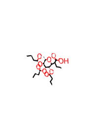 CCCC(=O)O[C@@H]1[C@H](OC(=O)CCC)[C@H](C)OC(C(CC)C(=O)O)[C@@H]1OC(=O)CCC